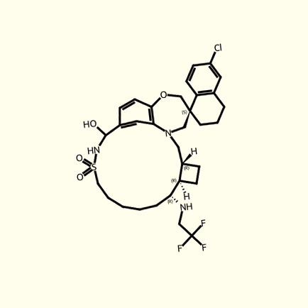 O=S1(=O)CCCCC[C@@H](NCC(F)(F)F)[C@@H]2CC[C@H]2CN2C[C@@]3(CCCc4cc(Cl)ccc43)COc3ccc(cc32)C(O)N1